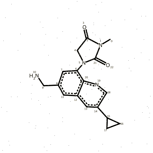 CN1C(=O)CN(c2cc(CN)cc3cc(C4CC4)cnc23)C1=O